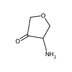 NC1COCC1=O